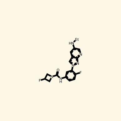 CCNc1cnc2nn(-c3cc(NC(=O)N4CC(F)C4)ccc3F)cc2c1